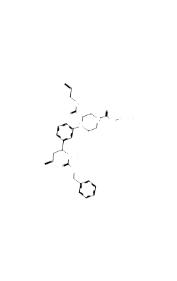 C=CCNC(=O)[C@H]1CN(C(=O)OC(C)(C)C)CCN1c1cccc(C(CC=C)NC(=O)OCc2ccccc2)c1